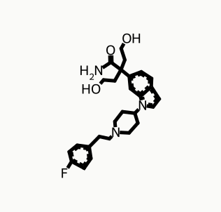 NC(=O)C(CCO)(CCO)c1ccc2ccn(C3CCN(CCc4ccc(F)cc4)CC3)c2c1